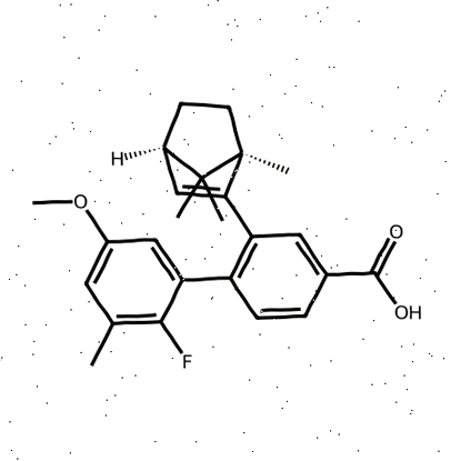 COc1cc(C)c(F)c(-c2ccc(C(=O)O)cc2C2=C[C@H]3CC[C@]2(C)C3(C)C)c1